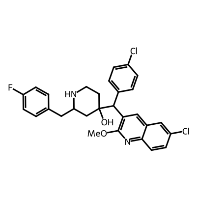 COc1nc2ccc(Cl)cc2cc1C(c1ccc(Cl)cc1)C1(O)CCNC(Cc2ccc(F)cc2)C1